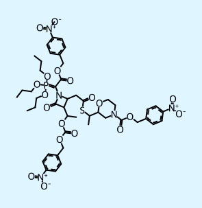 CCCOP(OCCC)(OCCC)=C(C(=O)OCc1ccc([N+](=O)[O-])cc1)N1C(=O)C(C(C)OC(=O)OCc2ccc([N+](=O)[O-])cc2)C1CC(=O)SC(C)C1CN(C(=O)OCc2ccc([N+](=O)[O-])cc2)CCO1